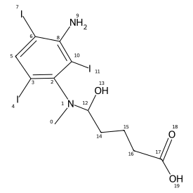 CN(c1c(I)cc(I)c(N)c1I)C(O)CCCC(=O)O